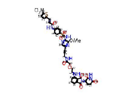 COc1nc(C#CCNC(=O)COCCNc2cccc3c2C(=O)N(C2CCC(=O)NC2=O)C3=O)cnc1NS(=O)(=O)c1ccc(NC(=O)/C=C/c2ccc([N+](=O)[O-])s2)cc1